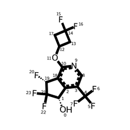 O[C@H]1c2c(C(F)(F)F)cnc(OC3CC(F)(F)C3)c2[C@@H](F)C1(F)F